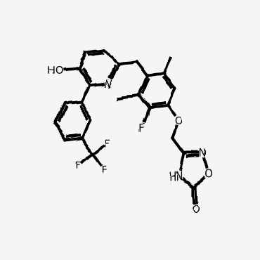 Cc1cc(OCc2noc(=O)[nH]2)c(F)c(C)c1Cc1ccc(O)c(-c2cccc(C(F)(F)F)c2)n1